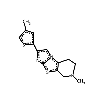 Cc1csc(-c2cn3c4c(sc3n2)CN(C)CC4)c1